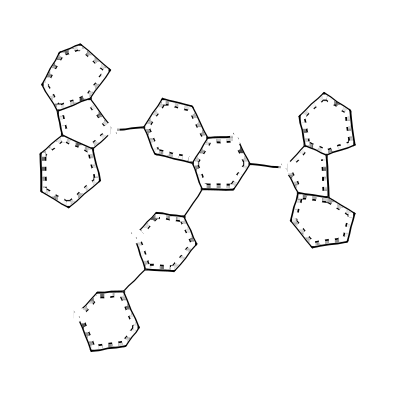 c1cncc(-c2ccc(-c3cc(-n4c5ccccc5c5ccccc54)nc4ccc(-n5c6ccccc6c6ccccc65)cc34)cn2)c1